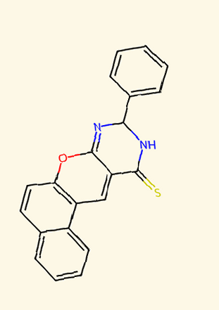 S=C1NC(c2ccccc2)N=C2Oc3ccc4ccccc4c3C=C12